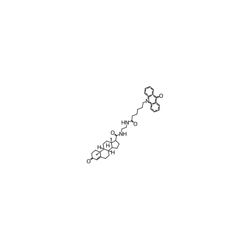 C[C@]12CCC(=O)C=C1CC[C@@H]1[C@H]2CC[C@]2(C)C(C(=O)NCCNC(=O)CCCCCn3c4ccccc4c(=O)c4ccccc43)CC[C@@H]12